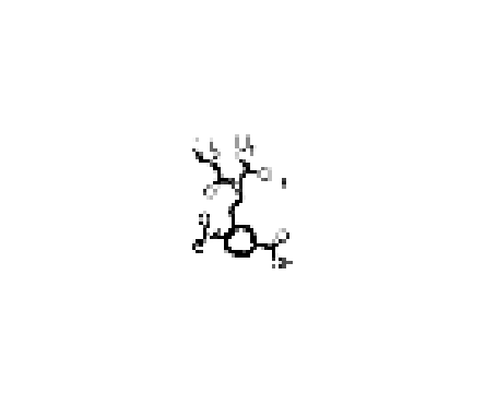 CCCC(=O)N(CCc1cc(C(=O)O)ccc1[N+](=O)[O-])C(C)C